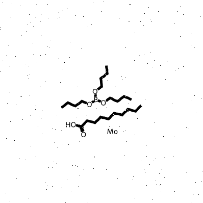 CCCCCCCCCC(=O)O.CCCCOB(OCCCC)OCCCC.[Mo]